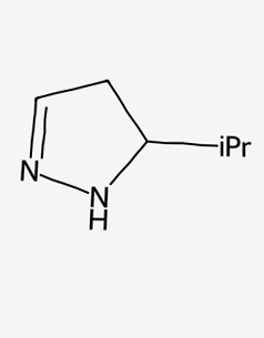 CC(C)C1CC=NN1